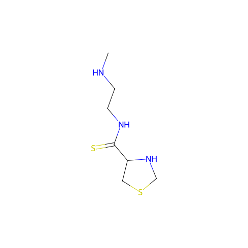 CNCCNC(=S)C1CSCN1